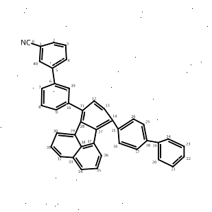 N#Cc1cccc(-c2cccc(-c3ccc(-c4ccc(-c5ccccc5)cc4)c4c3-c3cccc5cccc-4c35)c2)c1